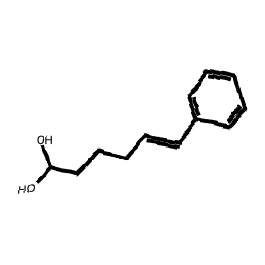 OC(O)CCCC=Cc1ccccc1